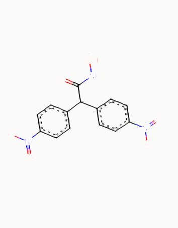 O=C(NO)C(c1ccc([N+](=O)[O-])cc1)c1ccc([N+](=O)[O-])cc1